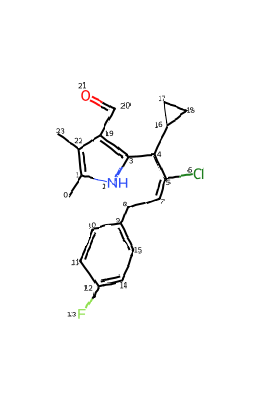 Cc1[nH]c(C(/C(Cl)=C\Cc2ccc(F)cc2)C2CC2)c(C=O)c1C